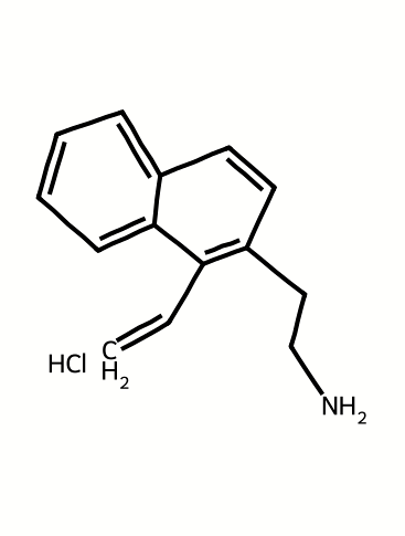 C=Cc1c(CCN)ccc2ccccc12.Cl